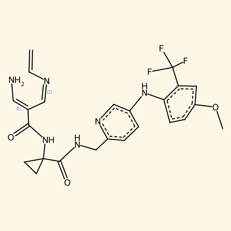 C=C/N=C\C(=C/N)C(=O)NC1(C(=O)NCc2ccc(Nc3ccc(OC)cc3C(F)(F)F)cn2)CC1